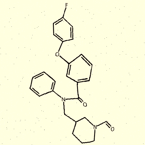 O=[C]N1CCCC(CN(C(=O)c2cccc(Oc3ccc(F)cc3)c2)c2ccccc2)C1